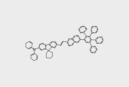 C1=CC(N(C2=CCCC=C2)c2ccc3c(c2)C2(CCCCC2)c2cc(/C=C/c4ccc5cc(-c6cc(-c7ccccc7)c(-c7ccccc7)c(-c7ccccc7)c6-c6ccccc6)ccc5c4)ccc2-3)=CCC1